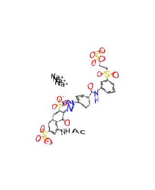 CC(=O)Nc1cc(S(=O)(=O)[O-])cc2c1C(=O)/C(=N/Nc1ccc(C(=O)Nc3cccc(S(=O)(=O)CCOS(=O)(=O)[O-])c3)cc1)C(S(=O)(=O)[O-])=C2.[Na+].[Na+].[Na+]